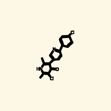 Cc1[nH]c(C)c(-c2ccc(-c3ccc(Cl)cc3)nc2)c(=O)c1Cl